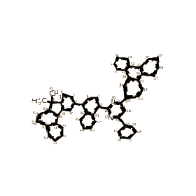 CC1(C)c2ccc(-c3ccc(-c4nc(-c5ccccc5)cc(-c5ccc6c7ccccc7c7ccccc7c6c5)n4)c4ccccc34)cc2-c2c1ccc1ccccc21